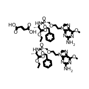 CCOC(=O)[C@H](C)N[P@](=O)(COCCn1cnc2c(OC)nc(N)nc21)OCc1ccccc1.CCOC(=O)[C@H](C)N[P@](=O)(COCCn1cnc2c(OC)nc(N)nc21)OCc1ccccc1.O=C(O)/C=C/C(=O)O